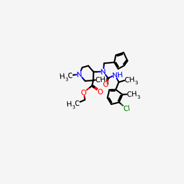 CCOC(=O)C1(C)CN(C)CCC1N(Cc1ccccc1)C(=O)NC(C)c1cccc(Cl)c1C